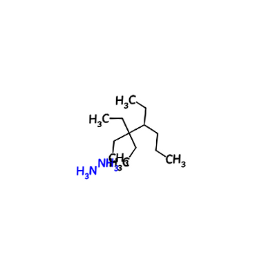 CCCC(CC)C(CC)(CC)CC.N.N